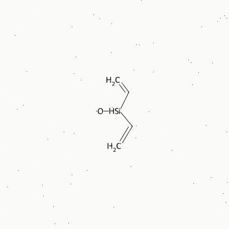 C=C[SiH]([O])C=C